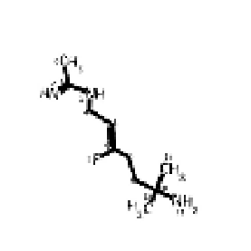 CC(=N)NC/C=C(\F)CCC(C)(C)N